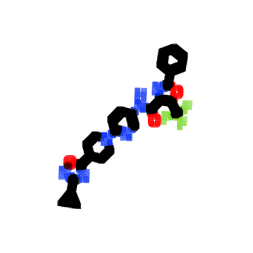 O=C(Nc1ccc(N2CCC(c3nc(C4CC4)no3)CC2)nc1)c1nc(-c2ccccc2)oc1C(F)(F)F